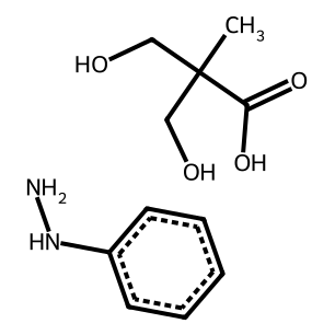 CC(CO)(CO)C(=O)O.NNc1ccccc1